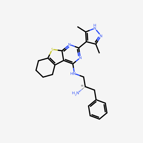 Cc1n[nH]c(C)c1-c1nc(NC[C@@H](N)Cc2ccccc2)c2c3c(sc2n1)CCCC3